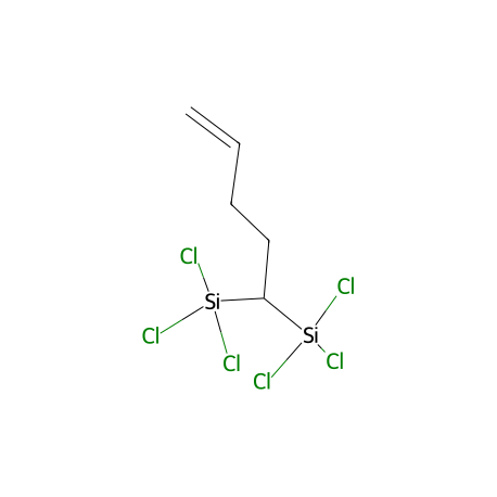 C=CCCC([Si](Cl)(Cl)Cl)[Si](Cl)(Cl)Cl